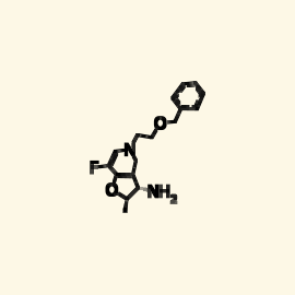 C[C@H]1OC2=C(CN(CCOCc3ccccc3)C=C2F)[C@@H]1N